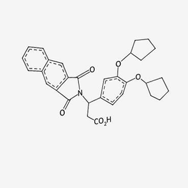 O=C(O)CC(c1ccc(OC2CCCC2)c(OC2CCCC2)c1)N1C(=O)c2cc3ccccc3cc2C1=O